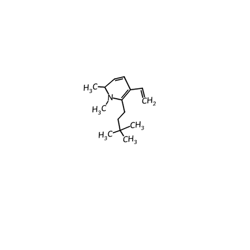 C=CC1=C(CCC(C)(C)C)N(C)C(C)C=C1